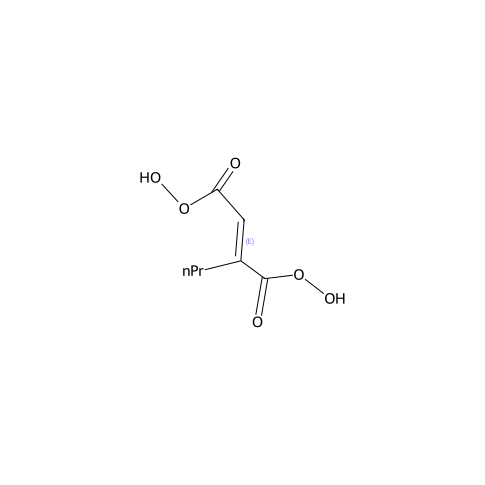 CCC/C(=C\C(=O)OO)C(=O)OO